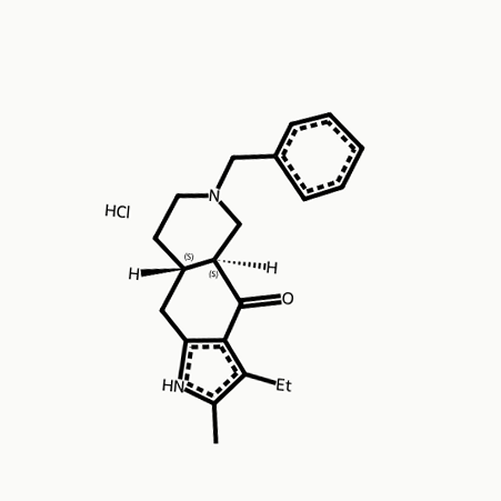 CCc1c(C)[nH]c2c1C(=O)[C@@H]1CN(Cc3ccccc3)CC[C@H]1C2.Cl